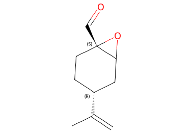 C=C(C)[C@@H]1CC[C@]2(C=O)OC2C1